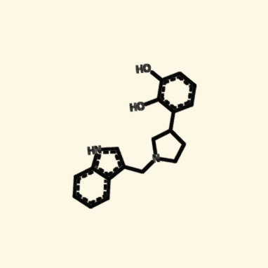 Oc1cccc(C2CCN(Cc3c[nH]c4ccccc34)C2)c1O